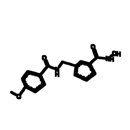 COc1ccc(C(=O)NCc2cccc(C(=O)NO)c2)cc1